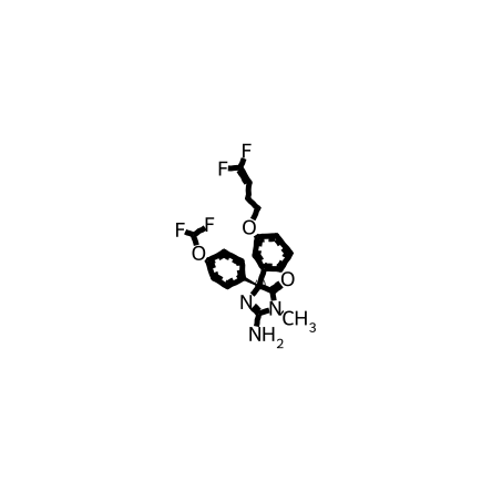 CN1C(=O)[C@@](c2ccc(OC(F)F)cc2)(c2cccc(OCCC=C(F)F)c2)N=C1N